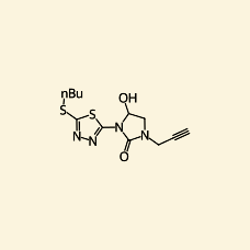 C#CCN1CC(O)N(c2nnc(SCCCC)s2)C1=O